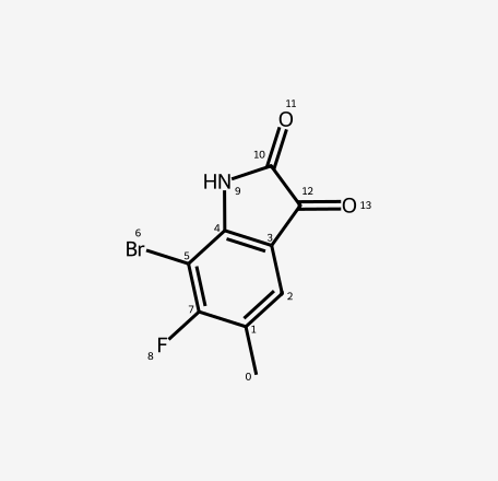 Cc1cc2c(c(Br)c1F)NC(=O)C2=O